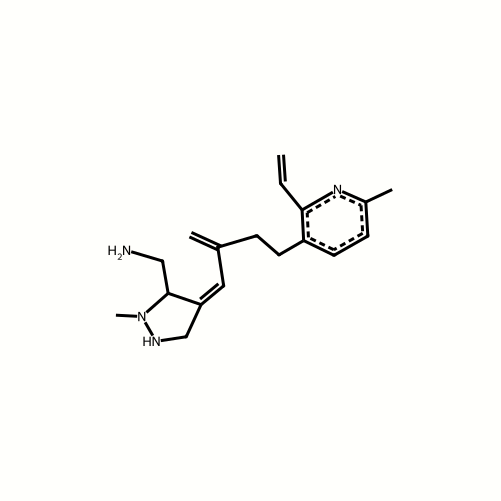 C=Cc1nc(C)ccc1CCC(=C)/C=C1/CNN(C)C1CN